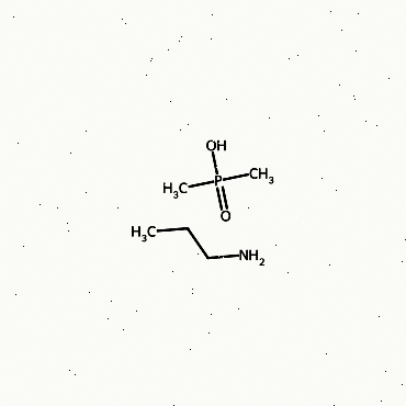 CCCN.CP(C)(=O)O